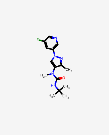 Cc1nn(-c2cncc(F)c2)cc1N(C)C(=O)NC(C)(C)C